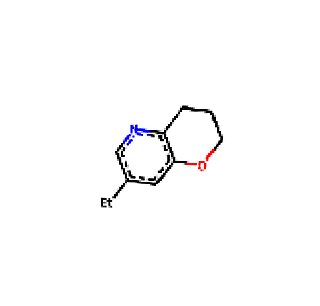 CCc1cnc2c(c1)OCCC2